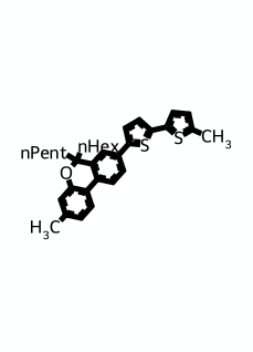 CCCCCCC1(CCCCC)Oc2cc(C)ccc2-c2ccc(-c3ccc(-c4ccc(C)s4)s3)cc21